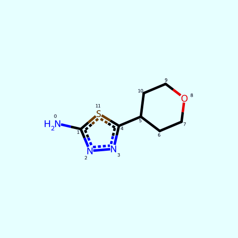 Nc1nnc(C2CCOCC2)s1